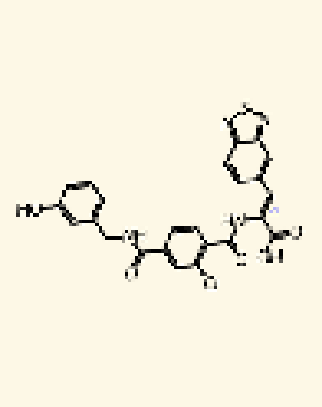 O=C(O)/C(=C/c1ccc2nsnc2c1)NC(=O)c1ccc(C(=O)NCc2cccc(O)c2)cc1Cl